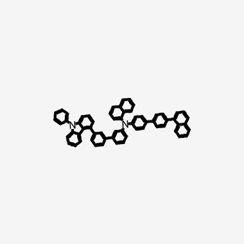 c1ccc(-n2c3ccccc3c3c(-c4cccc(-c5cccc(N(c6ccc(-c7ccc(-c8cccc9ccccc89)cc7)cc6)c6cccc7ccccc67)c5)c4)cccc32)cc1